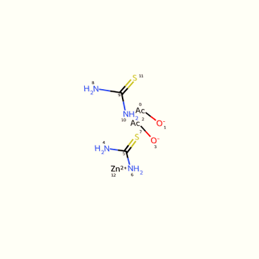 CC(=O)[O-].CC(=O)[O-].NC(N)=S.NC(N)=S.[Zn+2]